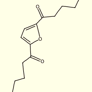 CCCCC(=O)c1ccc(C(=O)CCCC)o1